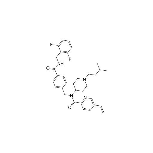 C=Cc1ccc(C(=O)N(Cc2ccc(C(=O)NCc3c(F)cccc3F)cc2)C2CCN(CCC(C)C)CC2)nc1